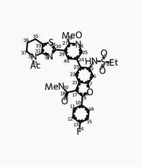 CCS(=O)(=O)Nc1cc2oc(-c3ccc(F)cc3)c(C(=O)NC)c2cc1-c1cnc(OC)c(-c2nc3c(s2)CCCN3C(C)=O)c1